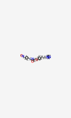 O=NCc1ccc(/C=C/c2nc(COc3ccc(CCCCn4ccnn4)cc3)co2)cc1